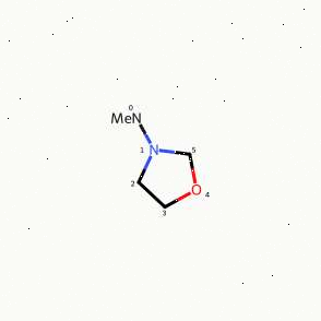 CNN1CCOC1